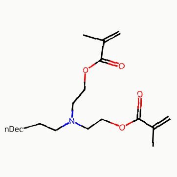 C=C(C)C(=O)OCCN(CCCCCCCCCCCC)CCOC(=O)C(=C)C